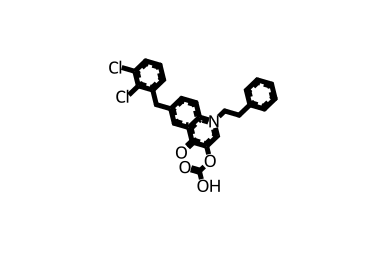 O=C(O)Oc1cn(CCc2ccccc2)c2ccc(Cc3cccc(Cl)c3Cl)cc2c1=O